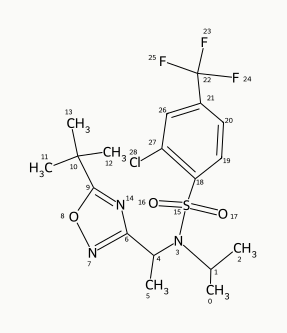 CC(C)N(C(C)c1noc(C(C)(C)C)n1)S(=O)(=O)c1ccc(C(F)(F)F)cc1Cl